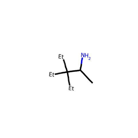 CCC(CC)(CC)C(C)N